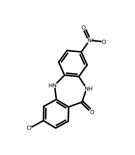 O=C1Nc2cc([N+](=O)[O-])ccc2Nc2cc(Cl)ccc21